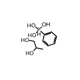 CC(O)CO.O[PH](O)(O)c1ccccc1